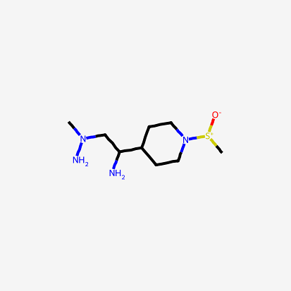 CN(N)CC(N)C1CCN([S+](C)[O-])CC1